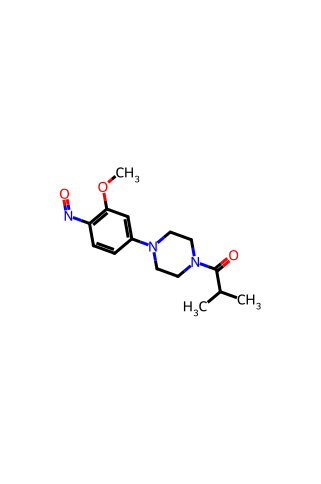 COc1cc(N2CCN(C(=O)C(C)C)CC2)ccc1N=O